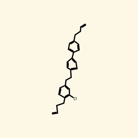 C=CCCc1ccc(-c2ccc(CCc3ccc(CCC=C)c(Cl)c3)cc2)cc1